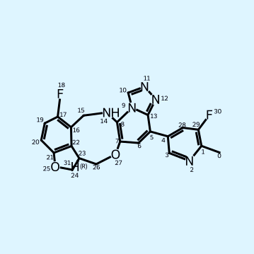 Cc1ncc(-c2cc3c(n4cnnc24)NCc2c(F)ccc4c2[C@H](CO4)CO3)cc1F